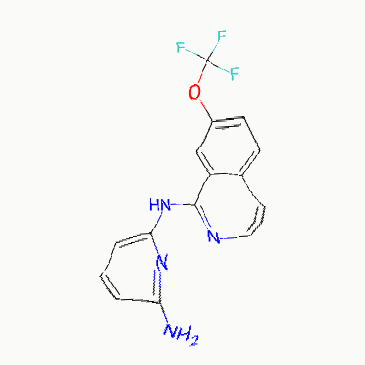 Nc1cccc(Nc2nccc3ccc(OC(F)(F)F)cc23)n1